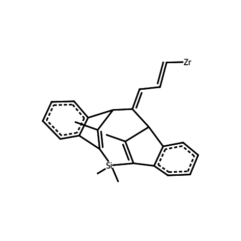 CC1=C2c3ccccc3C1C(=CC=[CH][Zr])C1C(C)=C(c3ccccc31)[Si]2(C)C